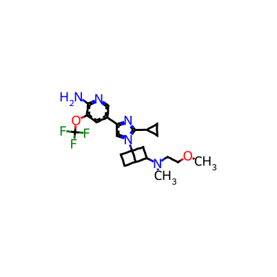 COCCN(C)C1CC2(n3cc(-c4cnc(N)c(OC(F)(F)F)c4)nc3C3CC3)CCC12